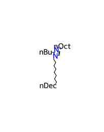 CCCCCCCCCCCCCCCCCCn1cc[n+](CCCCCCCC)c1CCCC